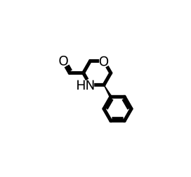 O=CC1COC[C@@H](c2ccccc2)N1